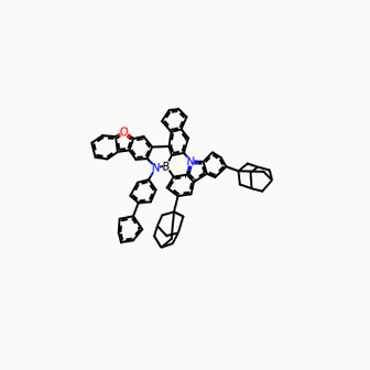 c1ccc(-c2ccc(N3B4c5c(cc6ccccc6c5-c5cc6oc7ccccc7c6cc53)-n3c5ccc(C67CC8CC(CC(C8)C6)C7)cc5c5cc(C67CC8CC(CC(C8)C6)C7)cc4c53)cc2)cc1